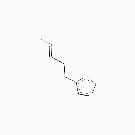 [CH2]C=CCCc1cnco1